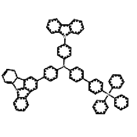 C1=CCC2C(=C1)n1c3ccccc3c3cc(-c4ccc(N(c5ccc(-c6ccc([Si](c7ccccc7)(c7ccccc7)c7ccccc7)cc6)cc5)c5ccc(-n6c7ccccc7c7ccccc76)cc5)cc4)cc2c31